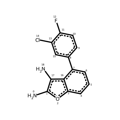 Nc1oc2cccc(-c3ccc(F)c(Cl)c3)c2c1N